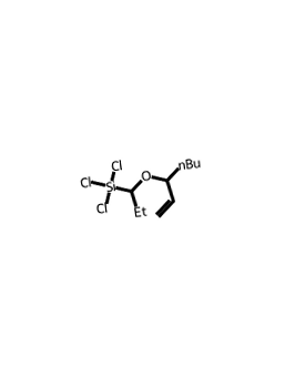 C=CC(CCCC)OC(CC)[Si](Cl)(Cl)Cl